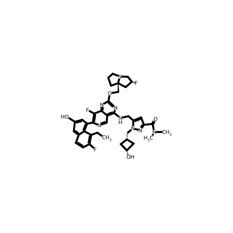 CCc1c(F)ccc2cc(O)cc(-c3ncc4c(NCc5cc(C(=O)N(C)C)nn5C[C@H]5C[C@@H](O)C5)nc(OC[C@@]56CCCN5C[C@H](F)C6)nc4c3F)c12